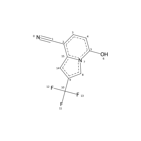 N#Cc1ccc(O)n2cc(C(F)(F)F)cc12